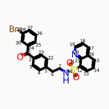 O=C(c1ccc(CCNS(=O)(=O)c2cccc3cccnc23)cc1)c1cccc(Br)c1